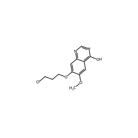 COc1cc2c(O)ncnc2cc1OCCCCl